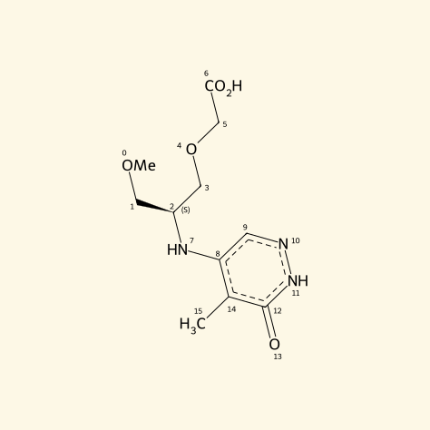 COC[C@@H](COCC(=O)O)Nc1cn[nH]c(=O)c1C